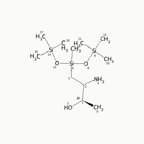 C[C@@H](O)C(N)C[Si](C)(O[Si](C)(C)C)O[Si](C)(C)C